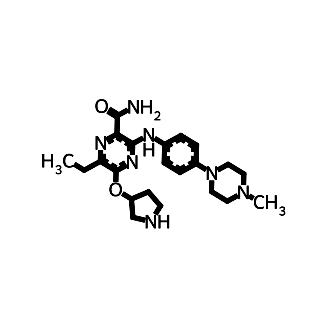 CCc1nc(C(N)=O)c(Nc2ccc(N3CCN(C)CC3)cc2)nc1OC1CCNC1